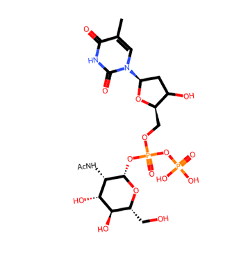 CC(=O)N[C@@H]1[C@H](OP(=O)(OC[C@H]2O[C@@H](n3cc(C)c(=O)[nH]c3=O)CC2O)OP(=O)(O)O)O[C@H](CO)[C@@H](O)[C@@H]1O